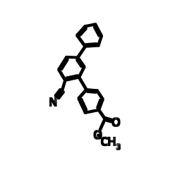 COC(=O)c1ccc(-c2cc(-c3ccccc3)ccc2C#N)cc1